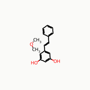 COC.Oc1cc(O)cc(C=Cc2ccccc2)c1